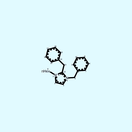 CCCCCC[n+]1ccn(Cc2ccccc2)c1Cc1ccccc1